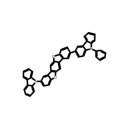 c1ccc(-n2c3ccccc3c3cc(-c4ccc5oc6cc7c(cc6c5c4)oc4ccc(-n5c6ccccc6c6ccccc65)cc47)ccc32)cc1